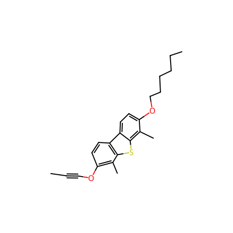 CC#COc1ccc2c(sc3c(C)c(OCCCCCC)ccc32)c1C